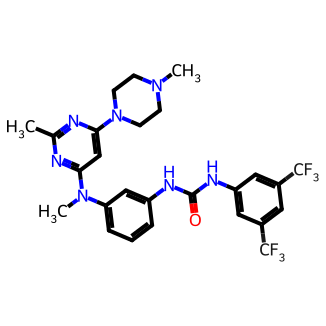 Cc1nc(N2CCN(C)CC2)cc(N(C)c2cccc(NC(=O)Nc3cc(C(F)(F)F)cc(C(F)(F)F)c3)c2)n1